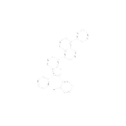 CC1(C)c2ccccc2-c2sc3c(-c4cccc5c(-c6cccnc6)cccc45)cccc3c2-c2ccccc21